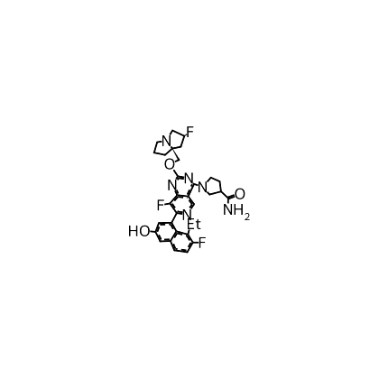 CCc1c(F)ccc2cc(O)cc(-c3ncc4c(N5CCC(C(N)=O)C5)nc(OC[C@@]56CCCN5C[C@H](F)C6)nc4c3F)c12